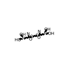 N#C/C(=C\C=C\N(CCO)CCO)C(=O)OCCCOC(=O)C(C#N)CCCN(CCO)CCO